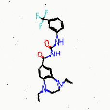 CCN1CCN(CC)c2cc(C(=O)NC(=O)Nc3cccc(C(F)(F)F)c3)ccc21